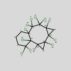 ClC1(Cl)CCCC2(Cl)C(Cl)(Cl)C(Cl)(Cl)C3(Cl)CC3(Cl)C3(Cl)CC3(Cl)C12Cl